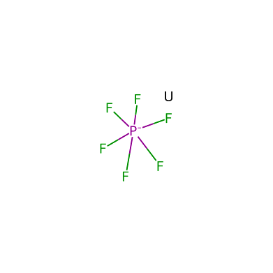 F[P-](F)(F)(F)(F)F.[U]